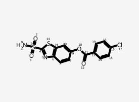 NS(=O)(=O)c1nc2ccc(OC(=O)c3ccc(Cl)cc3)cc2s1